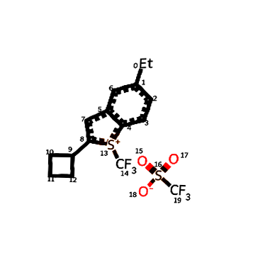 CCc1ccc2c(c1)cc(C1CCC1)[s+]2C(F)(F)F.O=S(=O)([O-])C(F)(F)F